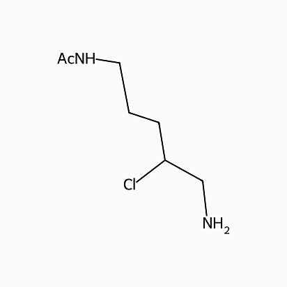 CC(=O)NCCCC(Cl)CN